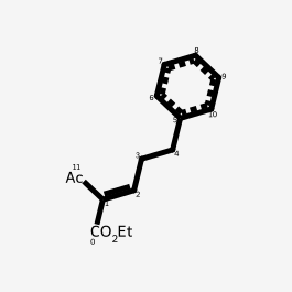 CCOC(=O)C(=CCCc1ccccc1)C(C)=O